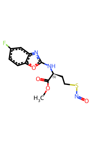 COC(=O)[C@H](CCSN=O)Nc1nc2cc(F)ccc2o1